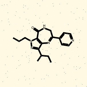 CCCn1nc(C(C)CC)c2c1C(=O)NCC(c1ccncc1)=N2